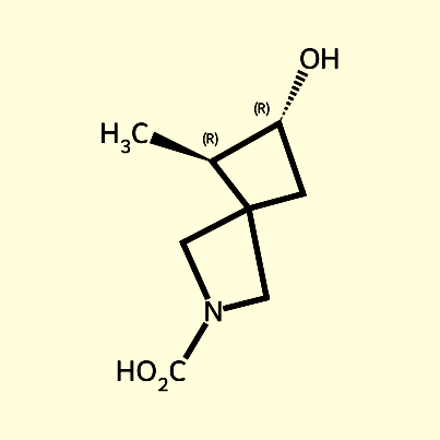 C[C@H]1[C@H](O)CC12CN(C(=O)O)C2